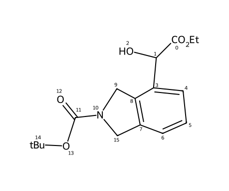 CCOC(=O)C(O)c1cccc2c1CN(C(=O)OC(C)(C)C)C2